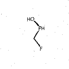 OPCF